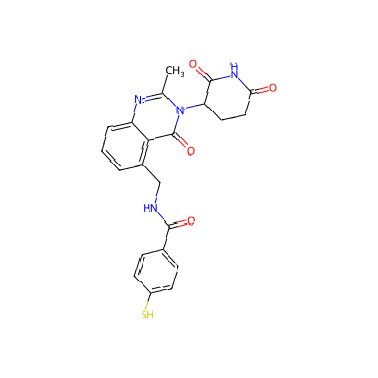 Cc1nc2cccc(CNC(=O)c3ccc(S)cc3)c2c(=O)n1C1CCC(=O)NC1=O